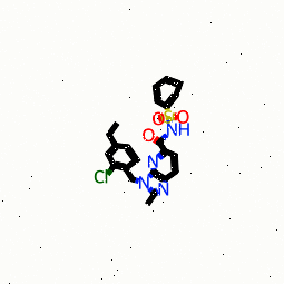 CCc1ccc(Cn2c(C)nc3ccc(C(=O)NS(=O)(=O)c4ccccc4)nc32)c(Cl)c1